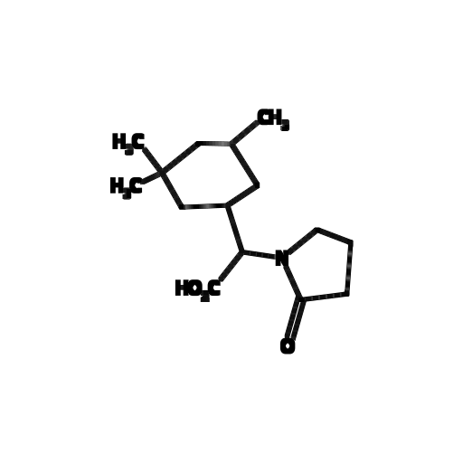 CC1CC(C(C(=O)O)N2CCCC2=O)CC(C)(C)C1